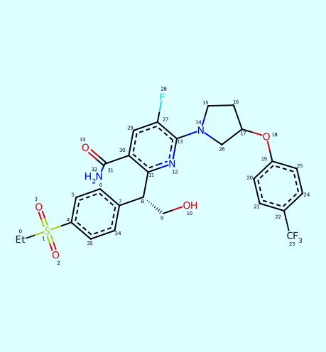 CCS(=O)(=O)c1ccc([C@@H](CO)c2nc(N3CCC(Oc4ccc(C(F)(F)F)cc4)C3)c(F)cc2C(N)=O)cc1